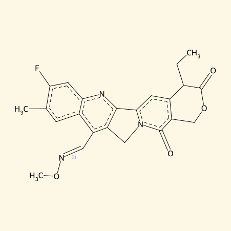 CCC1C(=O)OCc2c1cc1n(c2=O)Cc2c-1nc1cc(F)c(C)cc1c2/C=N/OC